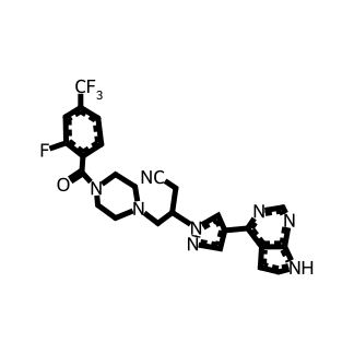 N#CCC(CN1CCN(C(=O)c2ccc(C(F)(F)F)cc2F)CC1)n1cc(-c2ncnc3[nH]ccc23)cn1